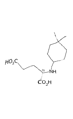 CC1(C)CCC(N[C@@H](CCC(=O)O)C(=O)O)CC1